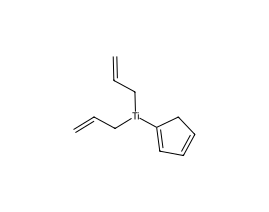 C=C[CH2][Ti]([CH2]C=C)[C]1=CC=CC1